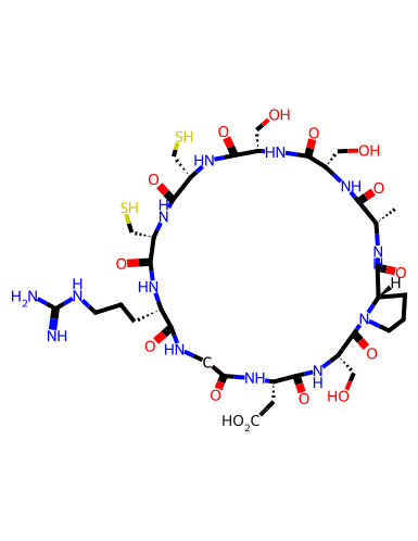 C[C@@H]1NC(=O)[C@@H]2CCCN2C(=O)[C@H](CO)NC(=O)[C@H](CC(=O)O)NC(=O)CNC(=O)[C@H](CCCNC(=N)N)NC(=O)[C@H](CS)NC(=O)[C@H](CS)NC(=O)[C@H](CO)NC(=O)[C@H](CO)NC1=O